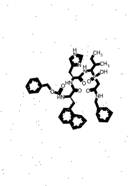 CCC(C)C(NC(=O)[C@H](Cc1c[nH]cn1)NC(=O)[C@@H](Cc1cccc2ccccc12)NC(=O)OCc1ccccc1)P(=O)(O)CC(=O)NCc1ccccc1